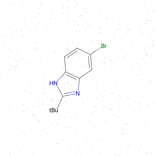 CC(C)(C)c1nc2cc(Br)ccc2[nH]1